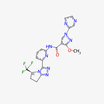 COc1nn(-c2cnccn2)cc1C(=O)Nc1cccc(-c2nnc3n2[C@H](C(F)(F)F)CC3)n1